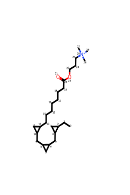 CCC1CC1CC1CC1CC1CC1CCCCCCCC(=O)OCCC[N+](C)(C)C